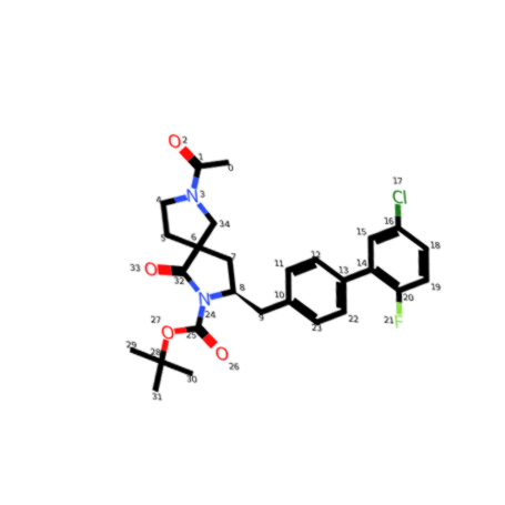 CC(=O)N1CCC2(C[C@@H](Cc3ccc(-c4cc(Cl)ccc4F)cc3)N(C(=O)OC(C)(C)C)C2=O)C1